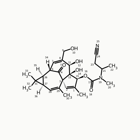 CC1=C[C@]23C(=O)[C@@H](C=C(CO)[C@@H](O)[C@]2(O)[C@H]1OC(=O)N(C)C(C)CC#N)[C@H]1[C@@H](C=C3C)C1(C)C